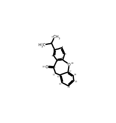 CC(C)c1ccc2c(c1)C(=O)Cc1ccccc1O2